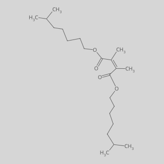 C/C(C(=O)OCCCCCC(C)C)=C(\C)C(=O)OCCCCCC(C)C